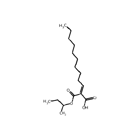 CCCCCCCCCC=C(C(=O)O)C(=O)OC(C)CC